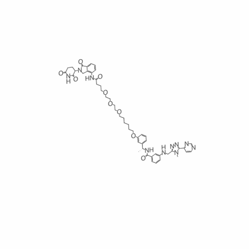 C[C@@H](NC(=O)c1cccc(NCc2nnc(-c3ccncn3)n2C)c1)c1cccc(OCCCCCCOCCOCCOCCCC(=O)Nc2cccc3c2CN(C2CCC(=O)NC2=O)C3=O)c1